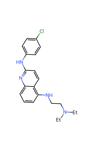 CCN(CC)CCNc1cccc2nc(Nc3ccc(Cl)cc3)ccc12